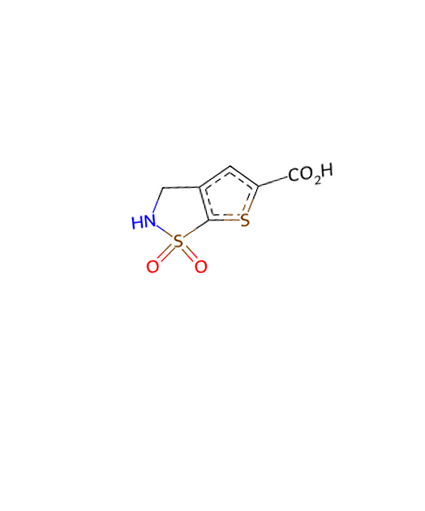 O=C(O)c1cc2c(s1)S(=O)(=O)NC2